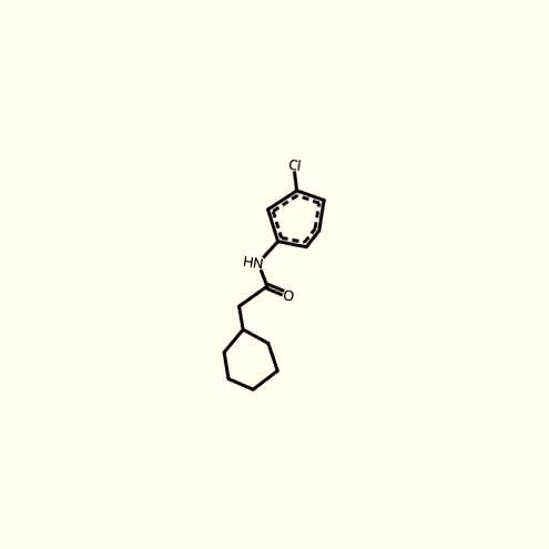 O=C(CC1CCCCC1)Nc1cccc(Cl)c1